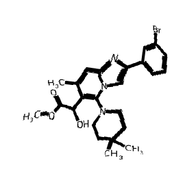 COC(=O)C(O)c1c(C)cc2nc(-c3cccc(Br)c3)cn2c1N1CCC(C)(C)CC1